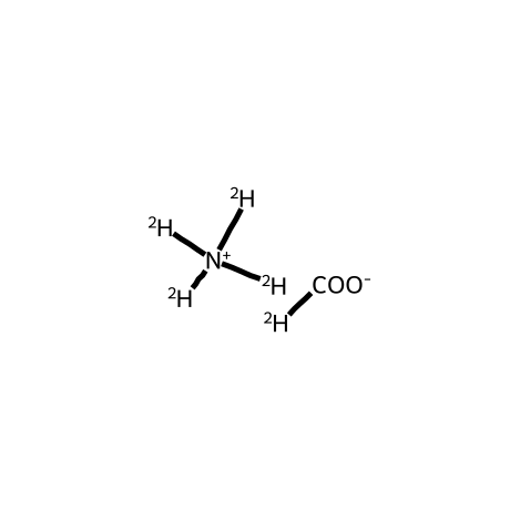 [2H]C(=O)[O-].[2H][N+]([2H])([2H])[2H]